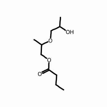 CCCC(=O)OCC(C)OCC(C)O